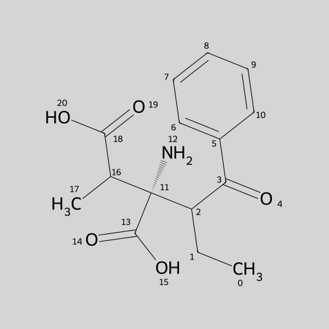 CCC(C(=O)c1ccccc1)[C@@](N)(C(=O)O)C(C)C(=O)O